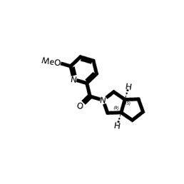 COc1cccc(C(=O)N2C[C@H]3CCC[C@H]3C2)n1